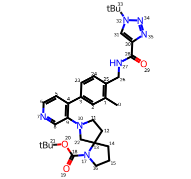 Cc1cc(-c2ccncc2N2CCC3(CCCN3C(=O)OC(C)(C)C)C2)ccc1CNC(=O)c1cn(C(C)(C)C)nn1